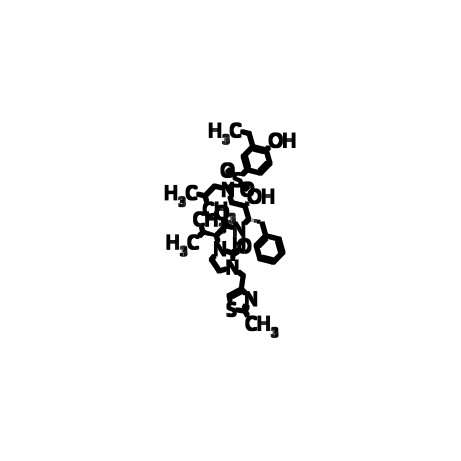 CCc1cc(S(=O)(=O)N(CC(C)C)C[C@@H](O)[C@H](Cc2ccccc2)NC(=O)[C@H](C(C)C)N2CCN(Cc3csc(C)n3)C2=O)ccc1O